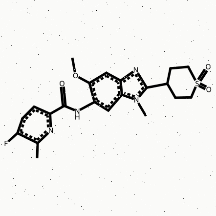 COc1cc2nc(C3CCS(=O)(=O)CC3)n(C)c2cc1NC(=O)c1ccc(F)c(C)n1